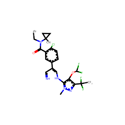 CC(C)CN(C(=O)c1cc(/C(C=N)=C/Nc2c(OC(F)F)c(C(F)(F)C(F)(F)F)nn2C)ccc1Cl)C1(C#N)CC1